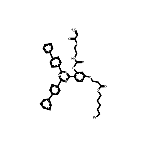 C=CC(=O)OCCNC(=O)Oc1cc(OCCC(=O)OCCCCCC(C)C)ccc1-c1nc(-c2ccc(-c3ccccc3)cc2)nc(-c2ccc(-c3ccccc3)cc2)n1